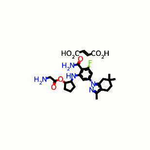 Cc1nn(-c2cc(F)c(C(N)=O)c(NC3CCCC3OC(=O)CN)c2)c2c1CCC(C)(C)C2.O=C(O)C=CC(=O)O